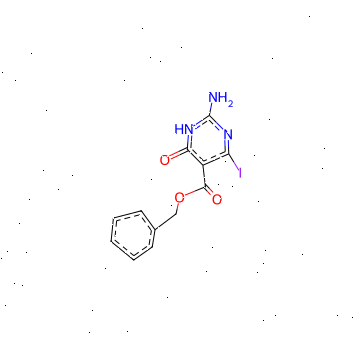 Nc1nc(I)c(C(=O)OCc2ccccc2)c(=O)[nH]1